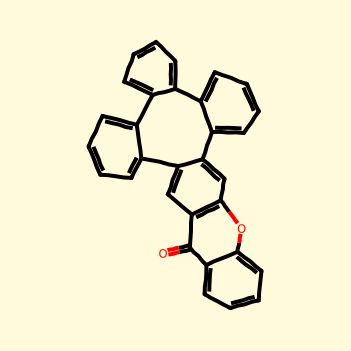 O=c1c2ccccc2oc2cc3c(cc12)-c1ccccc1-c1ccccc1-c1ccccc1-3